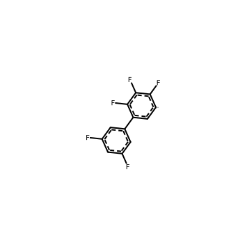 Fc1cc(F)cc(-c2c[c]c(F)c(F)c2F)c1